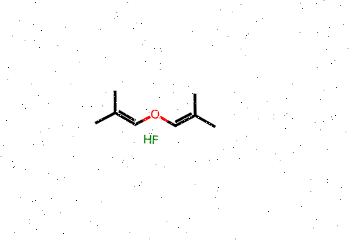 CC(C)=COC=C(C)C.F